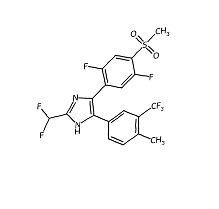 Cc1ccc(-c2[nH]c(C(F)F)nc2-c2cc(F)c(S(C)(=O)=O)cc2F)cc1C(F)(F)F